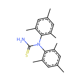 Cc1cc(C)c(N(C(N)=S)c2c(C)cc(C)cc2C)c(C)c1